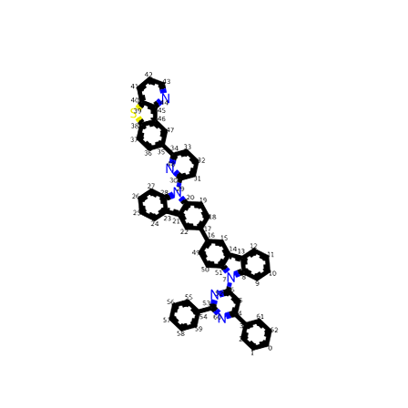 c1ccc(-c2cc(-n3c4ccccc4c4cc(-c5ccc6c(c5)c5ccccc5n6-c5cccc(-c6ccc7sc8cccnc8c7c6)n5)ccc43)nc(-c3ccccc3)n2)cc1